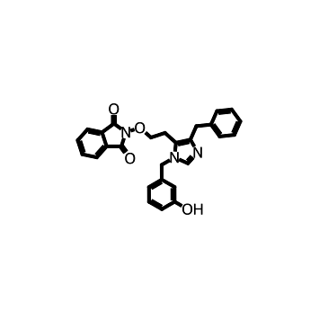 O=C1c2ccccc2C(=O)N1OCCc1c(Cc2ccccc2)ncn1Cc1cccc(O)c1